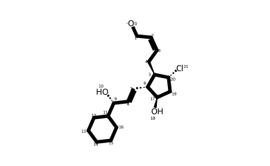 [O]C/C=C\C[C@@H]1[C@@H](/C=C/[C@@H](O)C2CCCCC2)[C@H](O)C[C@H]1Cl